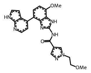 COCCn1cc(C(=O)Nc2nc3c(-c4ccnc5[nH]ccc45)ccc(OC)c3[nH]2)cn1